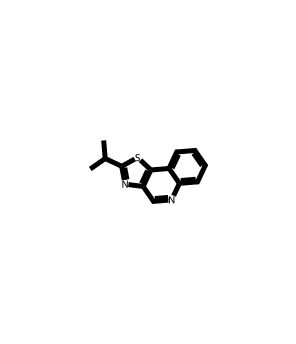 CC(C)c1nc2cnc3ccccc3c2s1